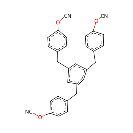 N#COc1ccc(Cc2cc(Cc3ccc(OC#N)cc3)cc(Cc3ccc(OC#N)cc3)c2)cc1